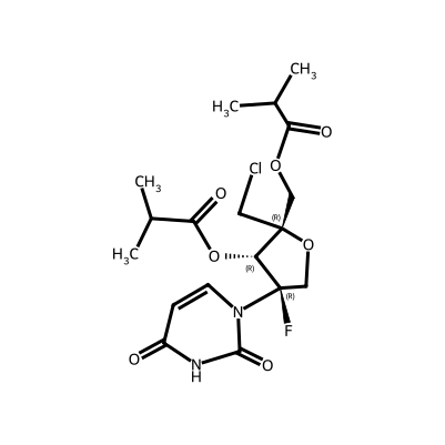 CC(C)C(=O)OC[C@@]1(CCl)OC[C@](F)(n2ccc(=O)[nH]c2=O)[C@@H]1OC(=O)C(C)C